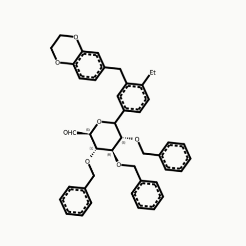 CCc1ccc(C2O[C@H](C=O)[C@@H](OCc3ccccc3)[C@H](OCc3ccccc3)[C@H]2OCc2ccccc2)cc1Cc1ccc2c(c1)OCCO2